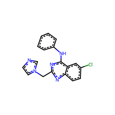 Clc1ccc2nc(Cn3ccnc3)nc(Nc3ccccc3)c2c1